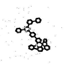 c1ccc(-c2cccc(-c3nc(-c4ccccc4)nc(-c4ccc(-c5ccc6c(c5)-n5c7ccccc7c7cccc(c75)C65c6ccccc6-c6ccccc65)cc4)n3)c2)cc1